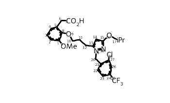 COc1cccc(CC(=O)O)c1OCCCc1cc(OC(C)C)nn1Cc1ccc(C(F)(F)F)cc1Cl